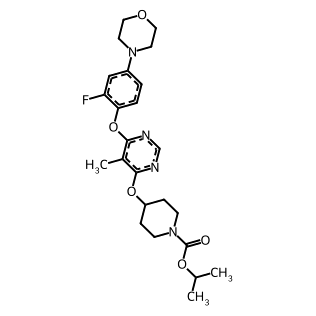 Cc1c(Oc2ccc(N3CCOCC3)cc2F)ncnc1OC1CCN(C(=O)OC(C)C)CC1